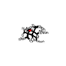 CCCCCCCCCC(=O)C(CN)(C(=O)CCCCCCCCC)C(O)(C(=O)CCCCCCCCC)C(C(=O)CCCCCCCCC)(C(=O)CCCCCCCCC)C(=O)CCCCCCCCC